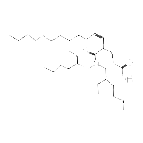 CCCCCCCCCC/C=C\C(CCC(=O)O)C(=O)N(CC(CC)CCCC)CC(CC)CCCC